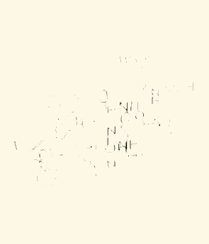 C[C@H](NC(=O)CCCC(=O)ON1C(=O)CCC1=O)C(O)N(C)[C@@H](C)C(=O)N[C@@H](CC(N)=O)C(=O)N[C@@H](CCN(C(=O)CO)[C@@H](c1cc(-c2cc(F)ccc2F)cn1Cc1ccccc1)C(C)(C)C)C(=O)NCCC(=O)N[C@H](CCC(=O)O)C(=O)O